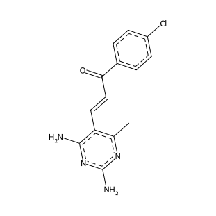 Cc1nc(N)nc(N)c1C=CC(=O)c1ccc(Cl)cc1